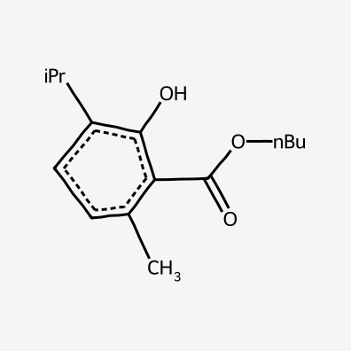 CCCCOC(=O)c1c(C)ccc(C(C)C)c1O